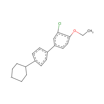 CCOc1ccc(-c2ccc(C3CC[CH]CC3)cc2)cc1Cl